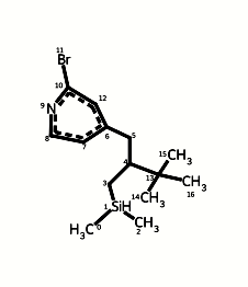 C[SiH](C)CC(Cc1ccnc(Br)c1)C(C)(C)C